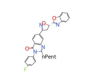 CCCCCc1nc2cc(C3=NO[C@H](c4nc5ccccc5o4)C3)ccc2c(=O)n1-c1ccc(F)cc1